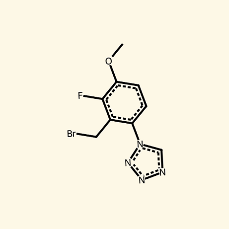 COc1ccc(-n2cnnn2)c(CBr)c1F